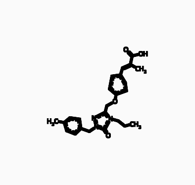 CCCn1c(COc2ccc(/C=C(\C)C(=O)O)cc2)nn(Cc2ccc(C)cc2)c1=O